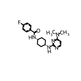 CN(C)c1ccnc(N[C@H]2CC[C@@H](NC(=O)c3ccc(F)cc3)CC2)n1